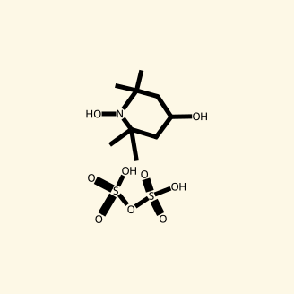 CC1(C)CC(O)CC(C)(C)N1O.O=S(=O)(O)OS(=O)(=O)O